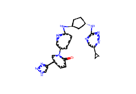 O=c1ccc(-c2c[nH]nn2)cn1-c1ccc(N[C@H]2CC[C@H](Nc3ncc(C4CC4)nn3)C2)nc1